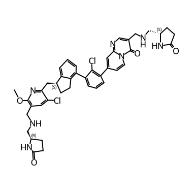 COc1nc(C[C@@H]2CCc3c(-c4cccc(-c5ccn6c(=O)c(CNC[C@@H]7CCC(=O)N7)cnc6c5)c4Cl)cccc32)c(Cl)cc1CNC[C@H]1CCC(=O)N1